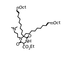 CCCCCCCC/C=C/CCCCCCCC1(CCCCCCC/C=C/CCCCCCCC)C(=O)NC(C(=O)OCC)C(=O)N1CCCN(C)C